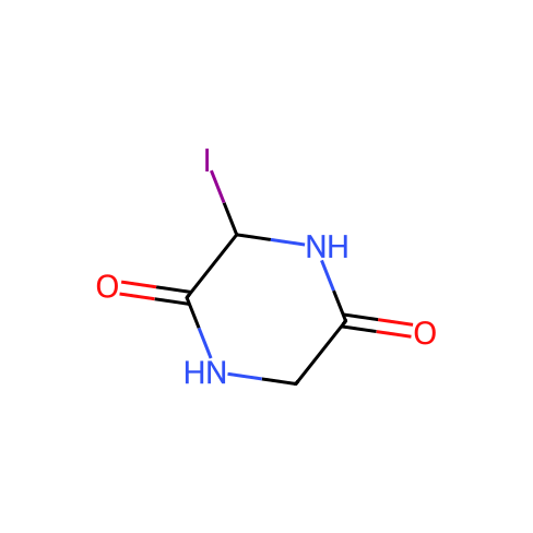 O=C1CNC(=O)C(I)N1